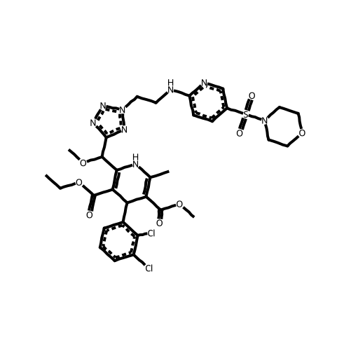 CCOC(=O)C1=C(C(OC)c2nnn(CCNc3ccc(S(=O)(=O)N4CCOCC4)cn3)n2)NC(C)=C(C(=O)OC)C1c1cccc(Cl)c1Cl